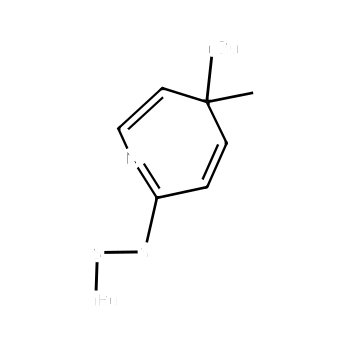 CCCCC1(C)C=CN=C(SSC(C)CC)C=C1